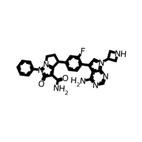 NC(=O)c1c2n(n(-c3ccccc3)c1=O)CCC2c1ccc(-c2cn(C3CNC3)c3ncnc(N)c23)c(F)c1